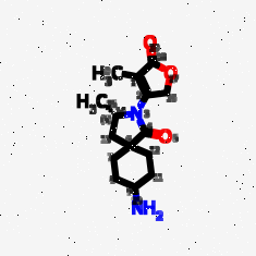 CC1=C(N2C(=O)C3(CCC(N)CC3)C[C@@H]2C)COC1=O